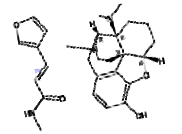 CN1CC[C@]23c4c5ccc(O)c4O[C@H]2CCC[C@@]3(N(C)C)[C@H]1C5.CNC(=O)/C=C/c1ccoc1